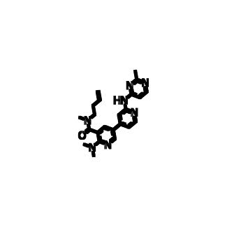 C=CCCN(C)C(=O)c1cc(-c2ccnc(Nc3ccnc(C)n3)c2)cnc1N(C)C